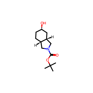 CC(C)(C)OC(=O)N1C[C@H]2C[C@H](O)CC[C@H]2C1